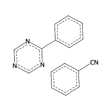 N#Cc1ccccc1.c1ccc(-c2ncncn2)cc1